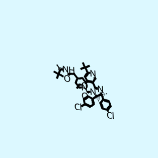 CCOc1cc(C(C)(C)C)ncc1C1=N[C@@](C)(c2ccc(Cl)cc2)[C@@](C)(c2ccc(Cl)cc2)N1C(=O)N1CCC(CC(=O)N[C@H](C)C(C)(C)C)CC1